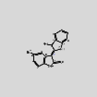 [2H]C1/C(=C2/C(=O)Nc3ccc(Br)cc32)Nc2ccccc21